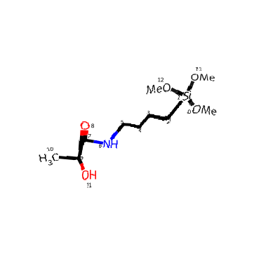 CO[Si](CCCCNC(=O)C(C)O)(OC)OC